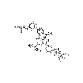 CC(C)=CCn1c(N2CCCC(NC(=O)OC(C)(C)C)C2)nc2c1c(=O)n(CC(=O)c1cccc(OCC(N)=O)c1)c(=O)n2C